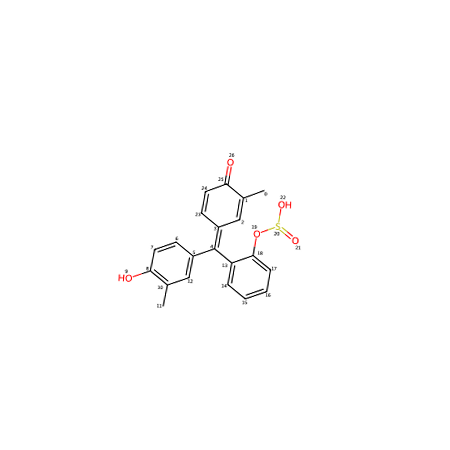 CC1=C/C(=C(/c2ccc(O)c(C)c2)c2ccccc2OS(=O)O)C=CC1=O